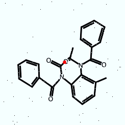 CC(=O)N(C(=O)c1ccccc1)c1cccc(C)c1N(C(C)=O)C(=O)c1ccccc1